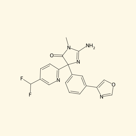 CN1C(=O)C(c2cccc(-c3cocn3)c2)(c2ccc(C(F)F)cn2)N=C1N